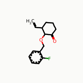 C=CC1CCCC(=O)C1OCc1ccccc1F